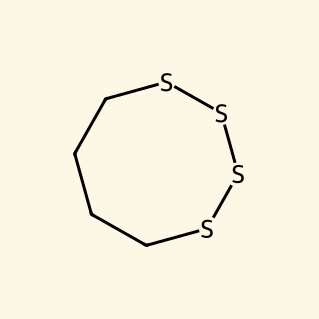 C1CCSSSSC1